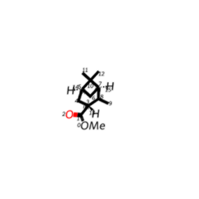 COC(=O)[C@@H]1C[C@@H]2C[C@H](C1C)C2(C)C